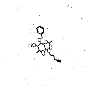 C#CCCCO[C@@H]1OC(C)[C@@H](O)[C@@H](OCc2ccccc2)C1OC(C)=O